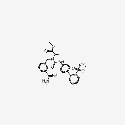 COC(=O)C(C)N(Cc1cccc(C(=N)N)c1)C(=O)Nc1ccc(-c2ccccc2S(N)(=O)=O)cc1